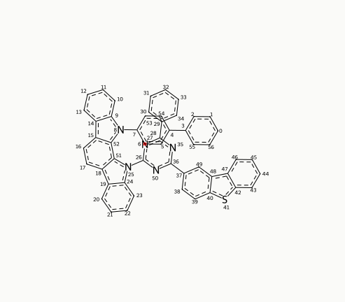 c1ccc(-c2ccc(-n3c4ccccc4c4ccc5c6ccccc6n(-c6nc(-c7ccccc7)nc(-c7ccc8sc9ccccc9c8c7)n6)c5c43)cc2)cc1